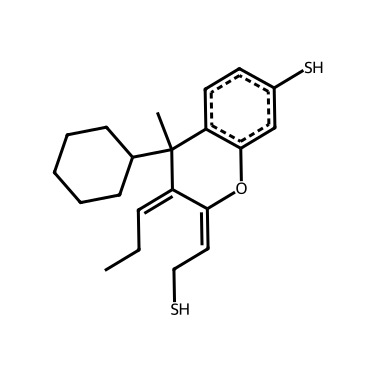 CC/C=C1\C(=C/CS)Oc2cc(S)ccc2C1(C)C1CCCCC1